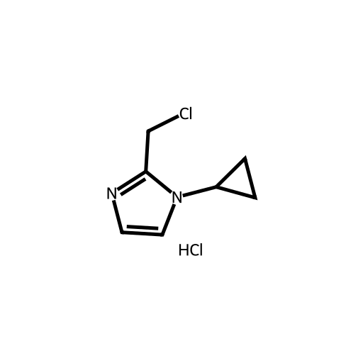 Cl.ClCc1nccn1C1CC1